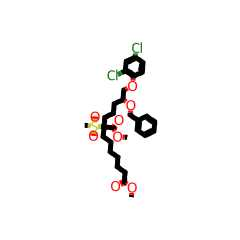 COC(=O)CCCCCCC(CCCC(COc1ccc(Cl)cc1Cl)OCc1ccccc1)(C(=O)OC)S(C)(=O)=O